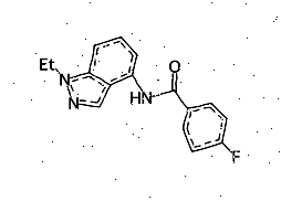 CCn1ncc2c(NC(=O)c3ccc(F)cc3)cccc21